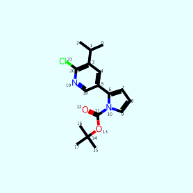 CC(C)c1cc(-c2cccn2C(=O)OC(C)(C)C)cnc1Cl